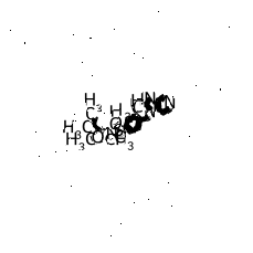 CCC(C)[C@H](CN(C)S(=O)(=O)c1ccc(CN2c3ccncc3NC2C)cc1)OC